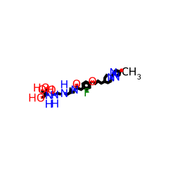 CCc1cnc(N2CCC(CCCOc3ccc(CC(=O)N4CC(CNCCNC(=O)NC(CO)(CO)CO)C4)c(F)c3)CC2)nc1